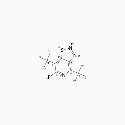 CC(C)(C)c1nc(F)c(C(C)(C)C)c2snnc12